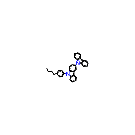 CCCCc1ccc(-n2c3ccccc3c3cc(-n4c5ccccc5c5ccccc54)ccc32)cc1